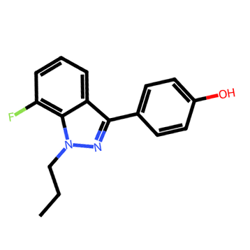 CCCn1nc(-c2ccc(O)cc2)c2cccc(F)c21